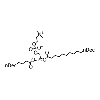 CCCCCCCCCCCCCCCCCCCC(=O)O[C@H](COC(=O)CCCCCCCCCCCCC)COP(=O)([O-])OCC[N+](C)(C)C